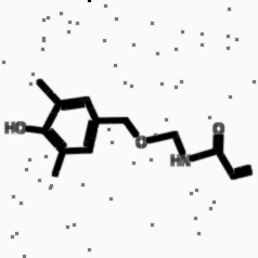 C=CC(=O)NCOCc1cc(C)c(O)c(C)c1